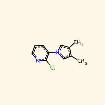 Cc1cn(-c2cccnc2Cl)cc1C